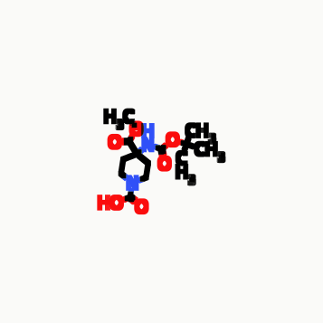 COC(=O)C1(NC(=O)OC(C)(C)C)CCN(C(=O)O)CC1